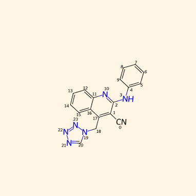 N#Cc1c(Nc2ccccc2)nc2ccccc2c1Cn1cnnn1